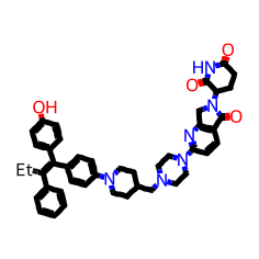 CC/C(=C(\c1ccc(O)cc1)c1ccc(N2CCC(CN3CCN(c4ccc5c(n4)CN(C4CCC(=O)NC4=O)C5=O)CC3)CC2)cc1)c1ccccc1